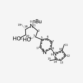 CCCCN(C[C@@H](O)c1ccc(-n2c(C)ccc2C)nc1)[C@@H](C)CO